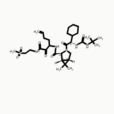 C=CCCC(NC(=O)[C@@H]1[C@@H]2[C@H](CN1C(=O)[C@@H](NC(=O)NC(C)(C)C)C1CCCCC1)C2(C)C)C(=O)C(=O)NCCS(C)(=O)=O